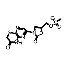 CS(=O)(=O)OCC1CN(c2cnc3c(n2)NC(=O)CS3)C(=O)O1